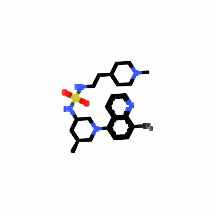 C[C@H]1C[C@@H](NS(=O)(=O)NCCC2CCN(C)CC2)CN(c2ccc(C(F)(F)F)c3ncccc23)C1